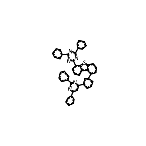 c1ccc(-c2cc(-c3cccc(-c4cccc5sc6c(-c7nc(-c8ccccc8)nc(-c8ccccc8)n7)cccc6c45)c3)nc(-c3ccccc3)n2)cc1